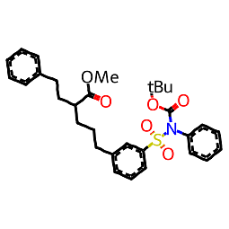 COC(=O)C(CCCc1cccc(S(=O)(=O)N(C(=O)OC(C)(C)C)c2ccccc2)c1)CCc1ccccc1